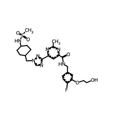 Cc1nc(C(=O)NCc2ccc(F)c(OCCO)c2)cc(-c2ncn(CC3CCC(NS(C)(=O)=O)CC3)n2)n1